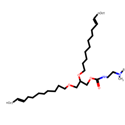 CCCCCCCCC=CCCCCCCCCOCC(COC(=O)NCCN(C)CC)OCCCCCCCCC=CCCCCCCCC